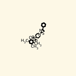 Cc1cc(C)c(C)c(S(=O)(=O)C2CCN(c3nc(-c4ccccc4)cs3)CC2)c1C